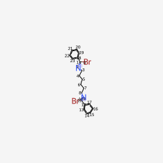 Br/C(=N\CCCCCC/N=C(\Br)c1ccccc1)c1ccccc1